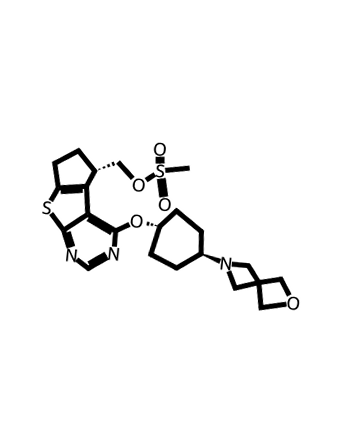 CS(=O)(=O)OC[C@H]1CCc2sc3ncnc(O[C@H]4CC[C@H](N5CC6(COC6)C5)CC4)c3c21